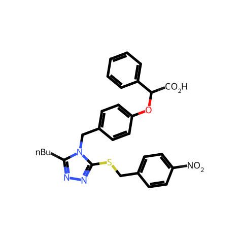 CCCCc1nnc(SCc2ccc([N+](=O)[O-])cc2)n1Cc1ccc(OC(C(=O)O)c2ccccc2)cc1